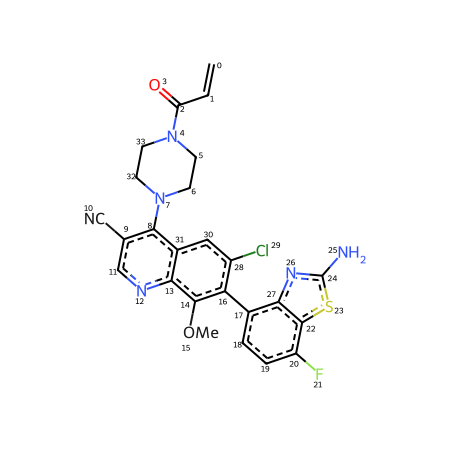 C=CC(=O)N1CCN(c2c(C#N)cnc3c(OC)c(-c4ccc(F)c5sc(N)nc45)c(Cl)cc23)CC1